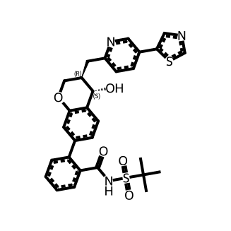 CC(C)(C)S(=O)(=O)NC(=O)c1ccccc1-c1ccc2c(c1)OC[C@@H](Cc1ccc(-c3cncs3)cn1)[C@@H]2O